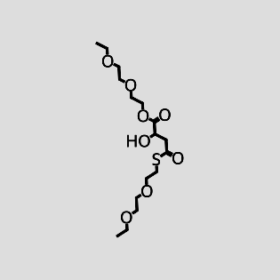 CCOCCOCCOC(=O)C(O)CC(=O)SCCOCCOCC